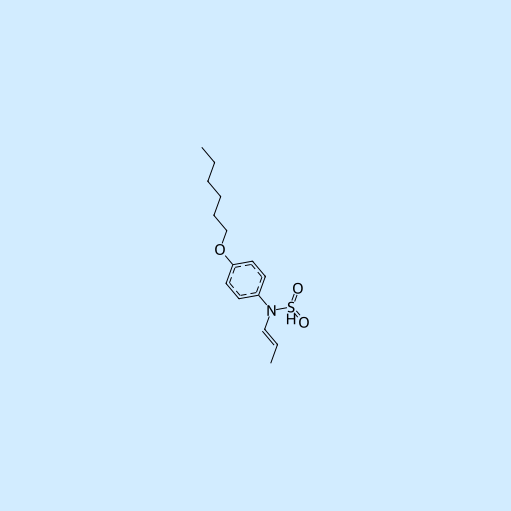 CC=CN(c1ccc(OCCCCCC)cc1)[SH](=O)=O